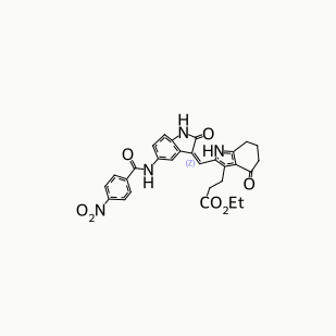 CCOC(=O)CCc1c(/C=C2\C(=O)Nc3ccc(NC(=O)c4ccc([N+](=O)[O-])cc4)cc32)[nH]c2c1C(=O)CCC2